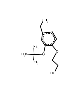 BC(P)(P)Oc1cc(CC)ccc1OCCO